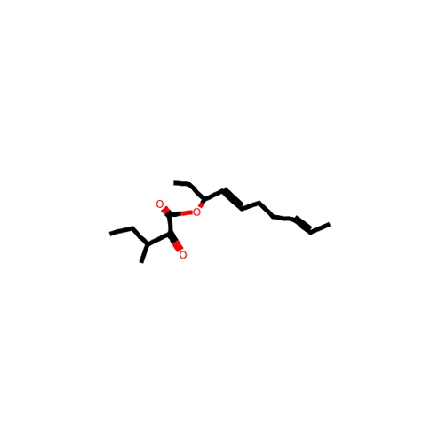 C/C=C/CC/C=C/C(CC)OC(=O)C(=O)C(C)CC